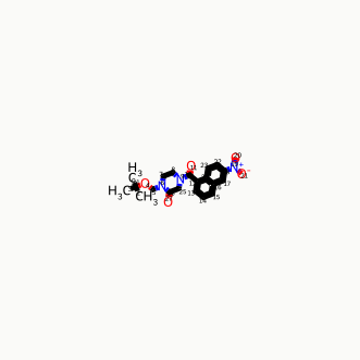 CC(C)(C)OCN1CCN(C(=O)c2cccc3cc([N+](=O)[O-])ccc23)CC1=O